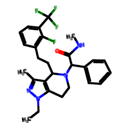 CCn1nc(C)c2c1CCN(C(C(=O)NC)c1ccccc1)C2CCc1cccc(C(F)(F)F)c1F